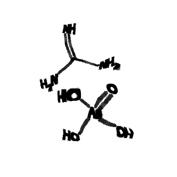 N=C(N)N.O=[As](O)(O)O